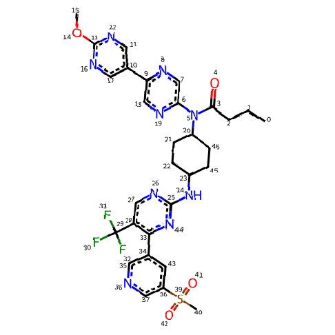 CCCC(=O)N(c1cnc(-c2cnc(OC)nc2)cn1)C1CCC(Nc2ncc(C(F)(F)F)c(-c3cncc(S(C)(=O)=O)c3)n2)CC1